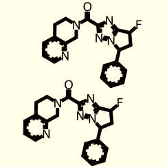 O=C(c1nc2n(n1)C(c1ccccc1)CC2F)N1CCc2cccnc2C1.O=C(c1nc2n(n1)C(c1ccccc1)CC2F)N1CCc2cccnc2C1